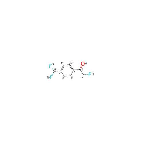 O=C(CF)c1ccc(C(F)F)cc1